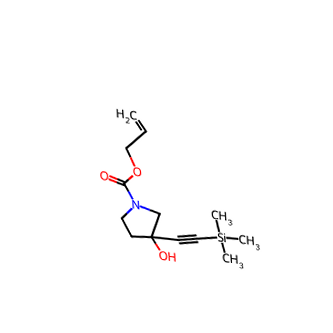 C=CCOC(=O)N1CCC(O)(C#C[Si](C)(C)C)C1